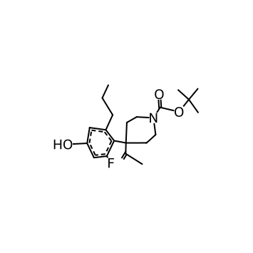 C=C(C)C1(c2c(F)cc(O)cc2CCC)CCN(C(=O)OC(C)(C)C)CC1